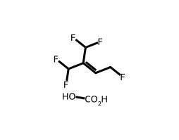 FCC=C(C(F)F)C(F)F.O=C(O)O